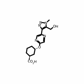 Cn1nnc(-c2cnc(O[C@H]3CCC[C@H](C(=O)O)C3)cn2)c1CO